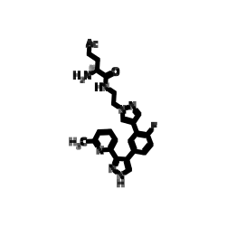 CC(=O)CC[C@H](N)C(=O)NCCn1cc(-c2cc(-c3c[nH]nc3-c3cccc(C)n3)ccc2F)cn1